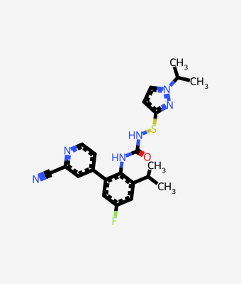 CC(C)c1cc(F)cc(-c2ccnc(C#N)c2)c1NC(=O)NSc1ccn(C(C)C)n1